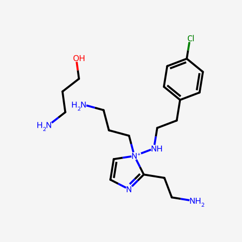 NCCCO.NCCC[N+]1(NCCc2ccc(Cl)cc2)C=CN=C1CCN